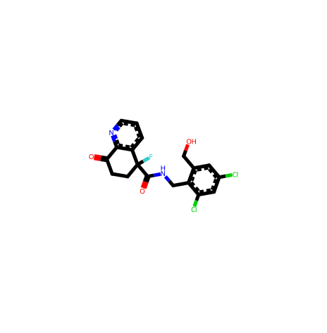 O=C1CCC(F)(C(=O)NCc2c(Cl)cc(Cl)cc2CO)c2cccnc21